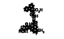 CC[C@@]1(O)C(=O)OCc2c1cc1n(c2=O)Cc2c-1nc1cc(F)c(C)c3c1c2[C@@H](NC(=O)COCNC(=O)CN(CC1c2ccccc2-c2ccccc21)C(=O)O)CC3